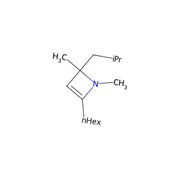 CCCCCCC1=CC(C)(CC(C)C)N1C